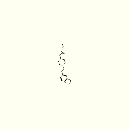 CCOC(=O)CC1CCN(CCc2ccc3c(c2)CCO3)CC1